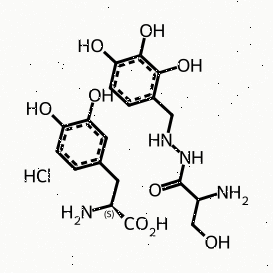 Cl.NC(CO)C(=O)NNCc1ccc(O)c(O)c1O.N[C@@H](Cc1ccc(O)c(O)c1)C(=O)O